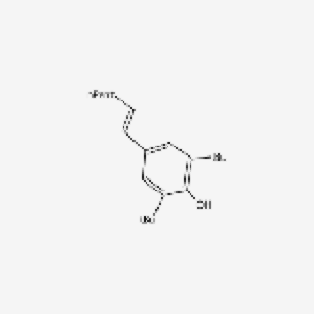 CCCCCC=Cc1cc(C(C)(C)C)c(O)c(C(C)(C)C)c1